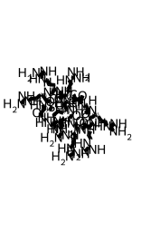 CC(C)C(=O)NCC(=O)N[C@H](CCCNC(=N)N)C(=O)N[C@H](CCCNC(=N)N)C(=O)N[C@H](CCCCNC(=N)N)C(=O)N[C@H](CCCNC(=N)N)C(=O)N[C@H](CCCNC(=N)N)C(=O)N[C@H](CCCNC(=N)N)C(=O)N[C@H](CCCNC(=N)N)C(=O)N[C@H](CCCNC(=N)N)C(=O)N[C@H](CS)C(N)=O